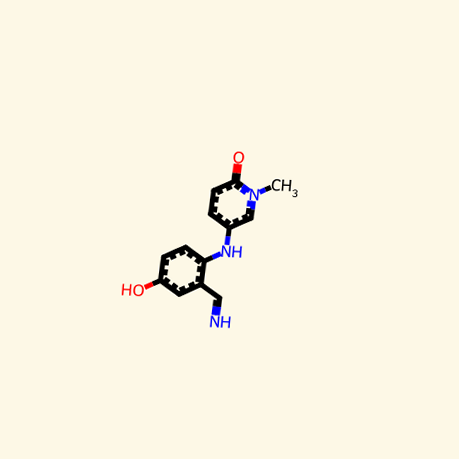 Cn1cc(Nc2ccc(O)cc2C=N)ccc1=O